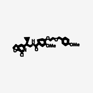 COc1ccc(COCCOc2ccc(C(=O)NCC(c3cc4c(c(Cl)n3)OCC4)C3CC3)cc2OC)cc1